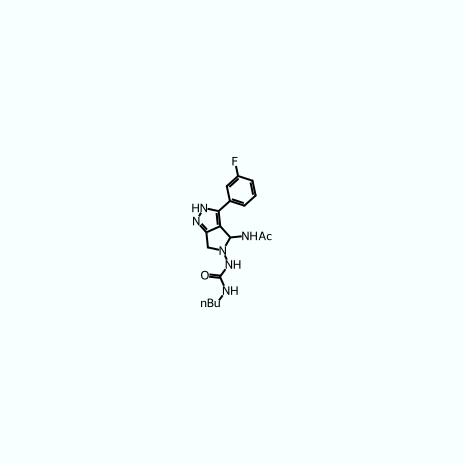 CCCCNC(=O)NN1Cc2n[nH]c(-c3cccc(F)c3)c2C1NC(C)=O